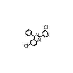 Clc1cccc(-c2nc(-c3ccccc3)c3cc(Cl)ccc3n2)c1